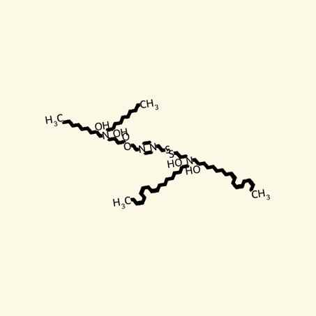 CC/C=C\C/C=C\C/C=C\CCCCCCC(O)CN(CCCSSCCN1CCN(CCOC(=O)CCCN(CC(O)CCCCCCCC)CC(O)CCCCCCCC)CC1)CC(O)CCCCCC/C=C\C/C=C\C/C=C\CC